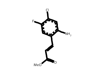 COC(=O)C=Cc1cc(F)c(Cl)cc1N